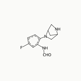 O=CNc1cc(F)ccc1N1CC2CC1CN2